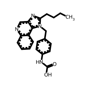 CCCCc1nc2cnc3ccccc3c2n1Cc1ccc(NC(=O)O)cc1